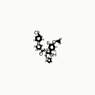 O=C(N[C@H](CN1CCCC1)[C@H](O)c1ccc(OC2CC2)c(F)c1)[C@@H]1CCN(c2ccc(Cl)cc2)C1